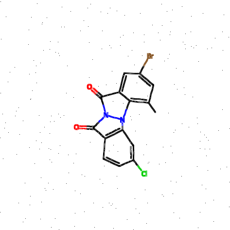 Cc1cc(Br)cc2c(=O)n3c(=O)c4ccc(Cl)cc4n3c12